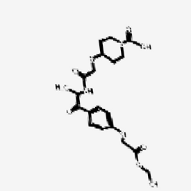 CCOC(=O)COc1ccc(C(=O)C(C)NC(=O)COC2CCN(C(=O)O)CC2)cc1